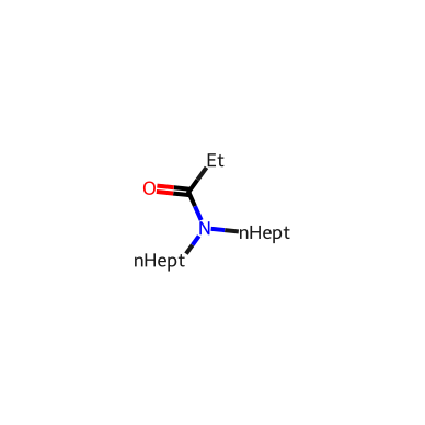 CCCCCCCN(CCCCCCC)C(=O)CC